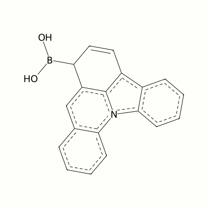 OB(O)C1C=Cc2c3ccccc3n3c2c1cc1ccccc13